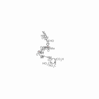 COC(=O)C(CCC(=O)NC(Cc1cn(CCCCNC(=O)C(C)N2CCN(CC(=O)O)CCN(CC(=O)O)CCN(CC(=O)O)CC2)nn1)C(=O)OC)NC(=O)CC(NC(=O)c1ccc(N(C=O)Cc2cnc3nc(/N=C/N(C)C)[nH]c(=O)c3n2)cc1)C(=O)OC